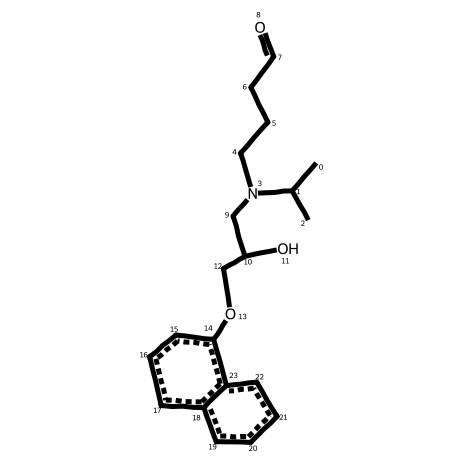 CC(C)N(CCCC=O)CC(O)COc1cccc2ccccc12